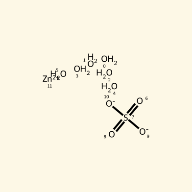 O.O.O.O.O.O.O=S(=O)([O-])[O-].[Zn+2]